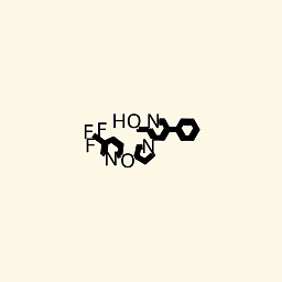 OCc1ncc(-c2ccccc2)cc1N1CCC(Oc2ccc(C(F)(F)F)cn2)C1